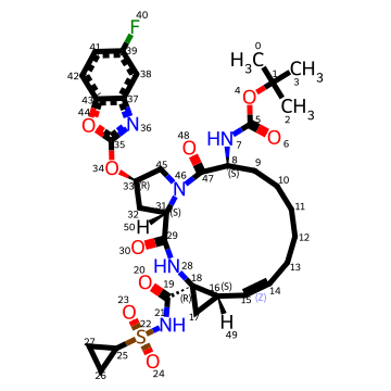 CC(C)(C)OC(=O)N[C@H]1CCCCC/C=C\[C@@H]2C[C@@]2(C(=O)NS(=O)(=O)C2CC2)NC(=O)[C@@H]2C[C@@H](Oc3nc4cc(F)ccc4o3)CN2C1=O